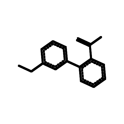 C=C(C)c1ccccc1-c1cccc(CC)c1